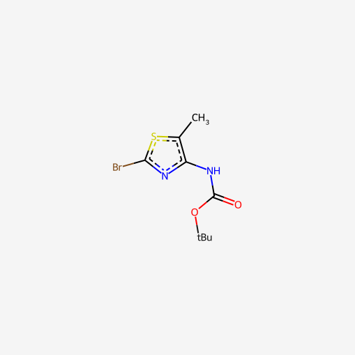 Cc1sc(Br)nc1NC(=O)OC(C)(C)C